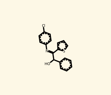 OC(/C(=N/c1ccc(Cl)cc1)c1cccs1)c1ccccc1